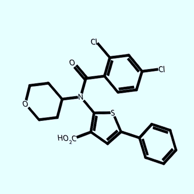 O=C(O)c1cc(-c2ccccc2)sc1N(C(=O)c1ccc(Cl)cc1Cl)C1CCOCC1